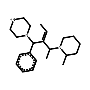 C/C=C(\C(c1ccccc1)N1CCNCC1)C(C)N1CCCCC1C